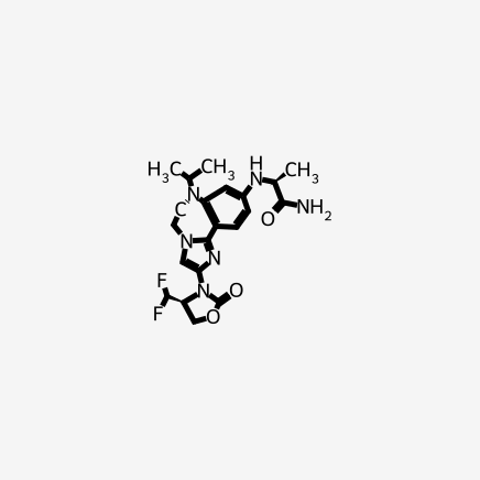 CC(C)N1CCn2cc(N3C(=O)OC[C@H]3C(F)F)nc2-c2ccc(N[C@@H](C)C(N)=O)cc21